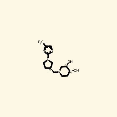 O[C@@H]1CCN(C[C@H]2CCN(c3nc(C(F)(F)F)cs3)C2)C[C@H]1O